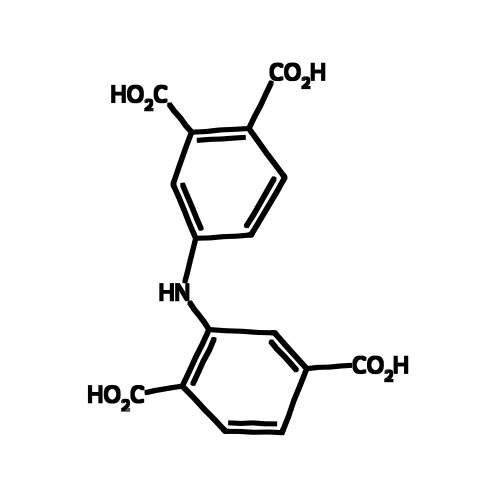 O=C(O)c1ccc(C(=O)O)c(Nc2ccc(C(=O)O)c(C(=O)O)c2)c1